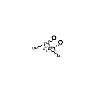 NCCCC[C@H](NC(=O)OCc1ccccc1)C(=O)OC(=O)[C@H](CCCCN)NC(=O)OCc1ccccc1